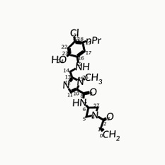 C=CC(=O)N1CC(NC(=O)c2cnc(CNc3cc(CCC)c(Cl)cc3O)n2C)C1